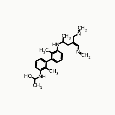 C=N/C=C(/CN=C)CC(C)Nc1cccc(-c2cccc(NC(C)O)c2C)c1C